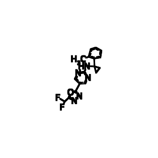 Cc1ccccc1C1(Nc2ncc(-c3nnc(C(F)F)o3)cn2)CC1